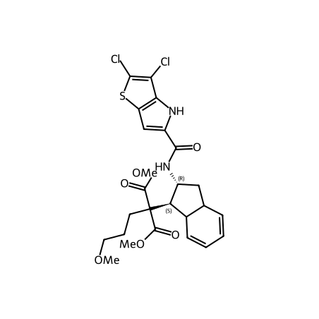 COCCCC(C(=O)OC)(C(=O)OC)[C@@H]1C2C=CC=CC2C[C@H]1NC(=O)c1cc2sc(Cl)c(Cl)c2[nH]1